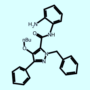 CCCCOc1c(-c2ccccc2)nn(Cc2ccccc2)c1C(=O)Nc1ccccc1N